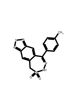 Cc1ccc(C2=NNS(=O)(=O)Cc3cc4nsnc4cc32)cc1